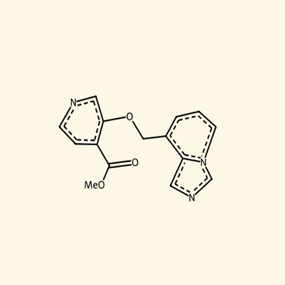 COC(=O)c1ccncc1OCc1cccn2cncc12